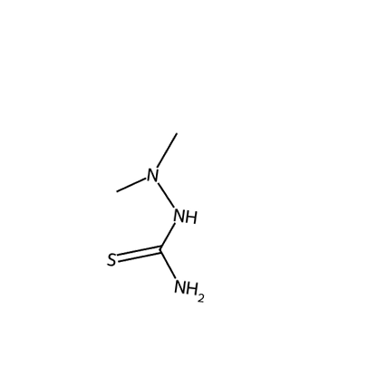 CN(C)NC(N)=S